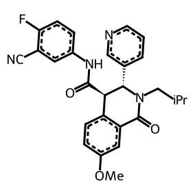 COc1ccc2c(c1)C(=O)N(CC(C)C)[C@@H](c1cccnc1)[C@@H]2C(=O)Nc1ccc(F)c(C#N)c1